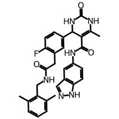 CC1=C(C(=O)Nc2ccc3[nH]ncc3c2)C(c2ccc(F)c(CC(=O)NCc3c(C)cccc3C)c2)NC(=O)N1